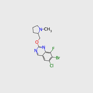 CN1CCCC1COc1ncc2cc(Cl)c(Br)c(F)c2n1